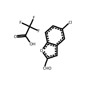 O=C(O)C(F)(F)F.O=Cc1cc2cc(Cl)ccc2o1